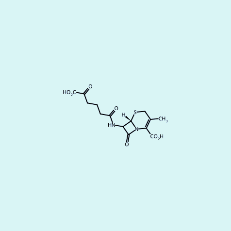 CC1=C(C(=O)O)N2C(=O)C(NC(=O)CCCC(=O)C(=O)O)[C@@H]2SC1